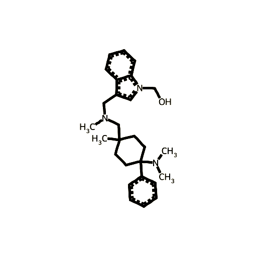 CN(Cc1cn(CO)c2ccccc12)CC1(C)CCC(c2ccccc2)(N(C)C)CC1